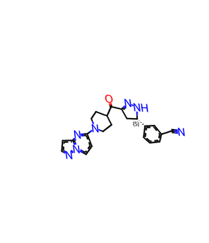 N#Cc1cccc([C@@H]2CC(C(=O)C3CCN(c4ccn5nccc5n4)CC3)=NN2)c1